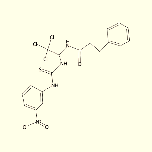 O=C(CCc1ccccc1)NC(NC(=S)Nc1cccc([N+](=O)[O-])c1)C(Cl)(Cl)Cl